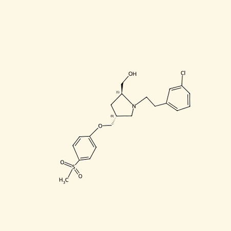 CS(=O)(=O)c1ccc(OC[C@@H]2C[C@@H](CO)N(CCc3cccc(Cl)c3)C2)cc1